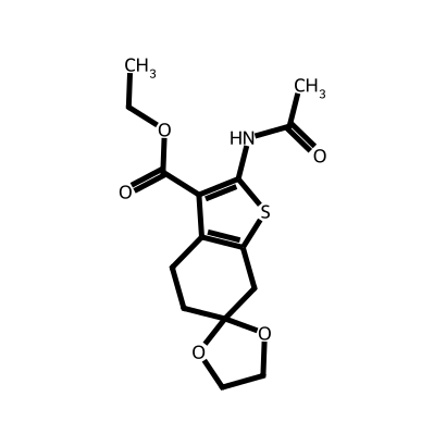 CCOC(=O)c1c(NC(C)=O)sc2c1CCC1(C2)OCCO1